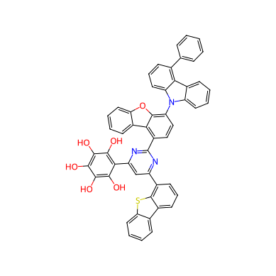 Oc1c(O)c(O)c(-c2cc(-c3cccc4c3sc3ccccc34)nc(-c3ccc(-n4c5ccccc5c5c(-c6ccccc6)cccc54)c4oc5ccccc5c34)n2)c(O)c1O